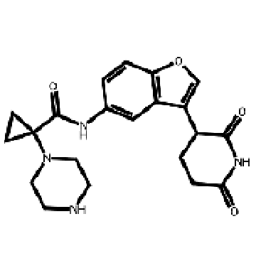 O=C1CCC(c2coc3ccc(NC(=O)C4(N5CCNCC5)CC4)cc23)C(=O)N1